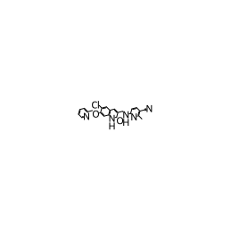 Cc1nc(NCc2cc3cc(Cl)c(OCc4ccccn4)cc3[nH]c2=O)ccc1C#N